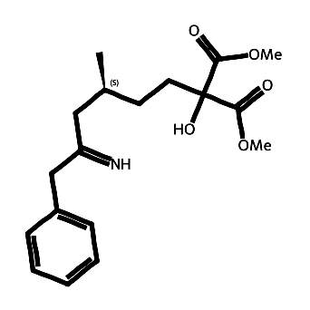 COC(=O)C(O)(CC[C@H](C)CC(=N)Cc1ccccc1)C(=O)OC